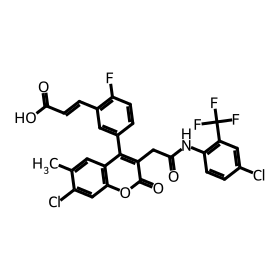 Cc1cc2c(-c3ccc(F)c(C=CC(=O)O)c3)c(CC(=O)Nc3ccc(Cl)cc3C(F)(F)F)c(=O)oc2cc1Cl